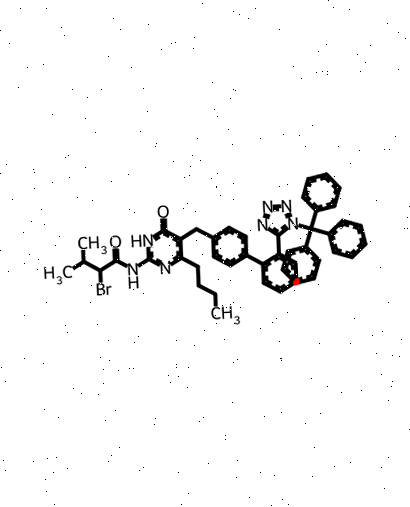 CCCCc1nc(NC(=O)C(Br)C(C)C)[nH]c(=O)c1Cc1ccc(-c2ccccc2-c2nnnn2C(c2ccccc2)(c2ccccc2)c2ccccc2)cc1